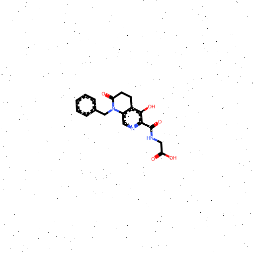 O=C(O)CNC(=O)c1ncc2c(c1O)CCC(=O)N2Cc1ccccc1